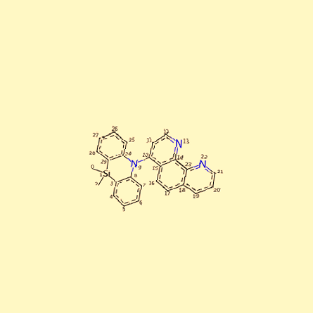 C[Si]1(C)c2ccccc2N(c2ccnc3c2ccc2cccnc23)c2ccccc21